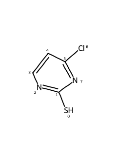 Sc1nccc(Cl)n1